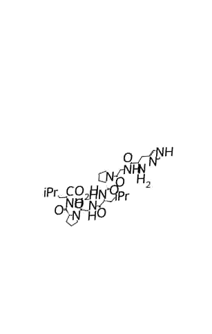 CC(C)C[C@H](NC(=O)[C@@H]1CCCN1C(=O)CNC(=O)[C@H](CC(C)C)NC(=O)[C@@H]1CCCN1C(=O)CNC(=O)[C@@H](N)Cc1c[nH]cn1)C(=O)O